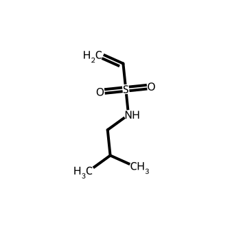 C=CS(=O)(=O)NCC(C)C